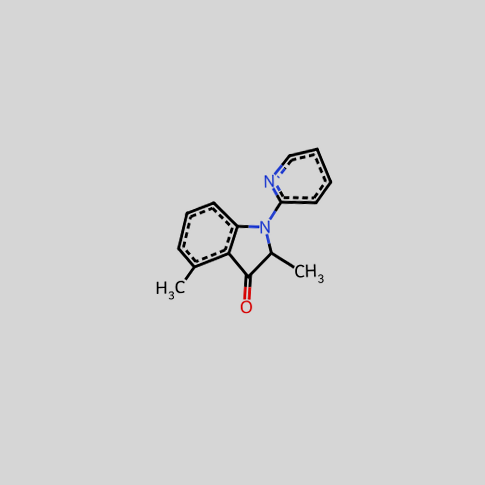 Cc1cccc2c1C(=O)C(C)N2c1ccccn1